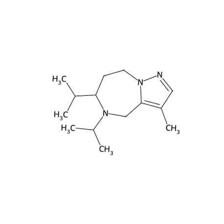 Cc1cnn2c1CN(C(C)C)C(C(C)C)CC2